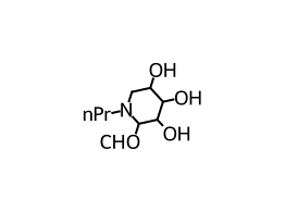 CCCN1CC(O)C(O)C(O)C1C=O